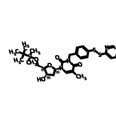 Cc1cn([C@H]2C[C@H](O)[C@@H](CO[Si](C)(C)C(C)(C)C)O2)c(=O)n(Cc2ccc(SSc3ccccn3)cc2)c1=O